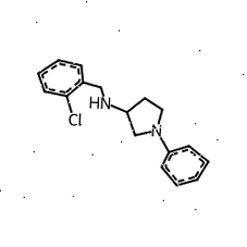 Clc1ccccc1CNC1CCN(c2ccccc2)C1